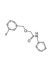 O=C(COCc1cccc(F)c1)Nc1ccccc1